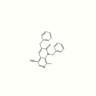 Cc1ncc(O)c2cc(Cc3ccccc3)c(=O)n(Cc3ccccc3)c12